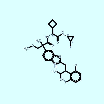 COCC(C)(C(=O)N[C@@H](C(=O)N[C@@H]1C[C@H]1F)C1CCC1)c1ccc2[nH]c(CC(c3c(F)cccc3Cl)C(C)C)nc2c1